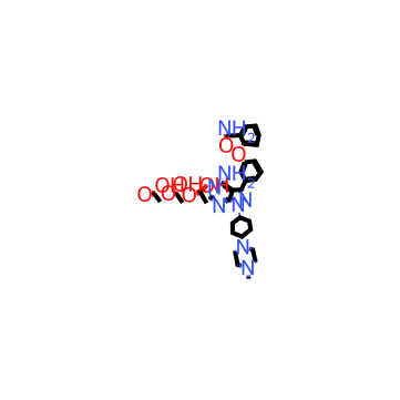 CC(=O)O.CC(=O)O.CC(=O)O.CN1CCN([C@H]2CC[C@@H](n3nc(-c4cccc(Oc5ccccc5C(N)=O)c4)c4c(N)ncnc43)CC2)CC1